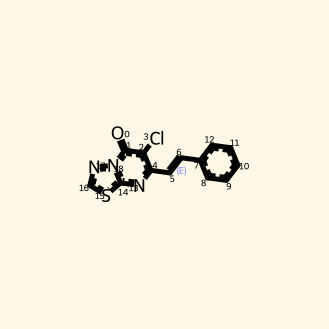 O=c1c(Cl)c(/C=C/c2ccccc2)nc2scnn12